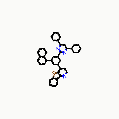 C1=CCC(c2cc(-c3ccccc3)nc(C3=CC(c4cccc5ccccc45)=CC(c4ccnc5c4sc4ccccc45)C3)n2)C=C1